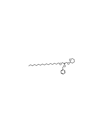 CCCCCCCCCCCCCCCCOC[C@@H](COC1CCCCO1)OCc1ccccc1